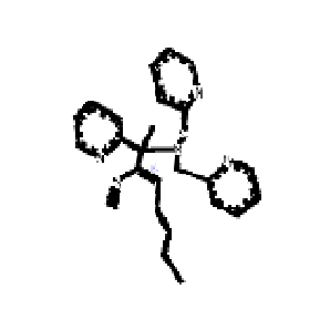 C=N/C(=C\CCCC)C(C)(c1ccccn1)N(Cc1ccccn1)Cc1ccccn1